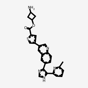 Cc1cccc(-c2[nH]cnc2-c2ccc3ncc(-c4csc(C(=O)OC5CC(N)C5)c4)cc3c2)n1